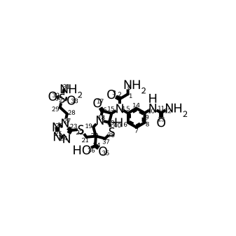 NCC(=O)N(c1cccc(NC(N)=O)c1)C1C(=O)N2CC(CSc3nnnn3CCS(N)(=O)=O)(C(=O)O)CS[C@H]12